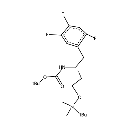 CC(C)(C)OC(=O)N[C@@H](CCO[Si](C)(C)C(C)(C)C)Cc1cc(F)c(F)cc1F